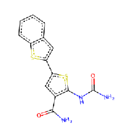 NC(=O)Nc1sc(-c2cc3ccccc3s2)cc1C(N)=O